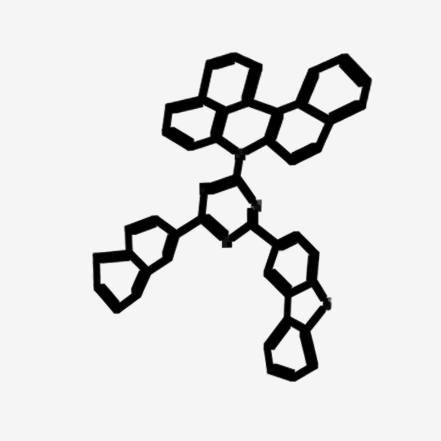 c1ccc2cc(-c3nc(-c4ccc5sc6ccccc6c5c4)nc(N4c5ccc6ccccc6c5-c5cccc6cccc4c56)n3)ccc2c1